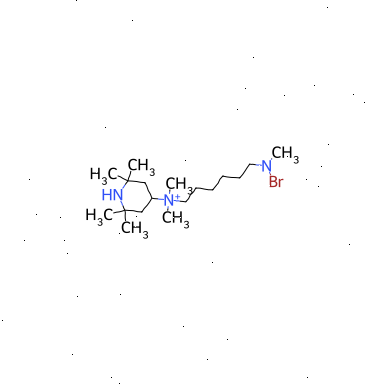 CN(Br)CCCCCC[N+](C)(C)C1CC(C)(C)NC(C)(C)C1